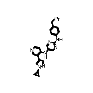 CC(C)Cc1ccc(Nc2ncc(Nc3ccncc3-c3cnn(C4CC4)c3)cn2)cc1